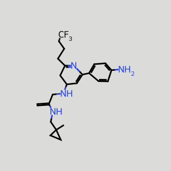 C=C(CNC1C=C(c2ccc(N)cc2)N=C(CCCC(F)(F)F)C1)NCC1(C)CC1